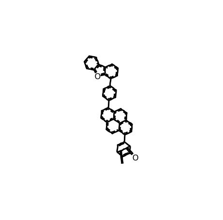 C=C1C(=O)C2C=CC1C=C2c1ccc2ccc3c(-c4ccc(-c5cccc6c5oc5ccccc56)cc4)ccc4ccc1c2c43